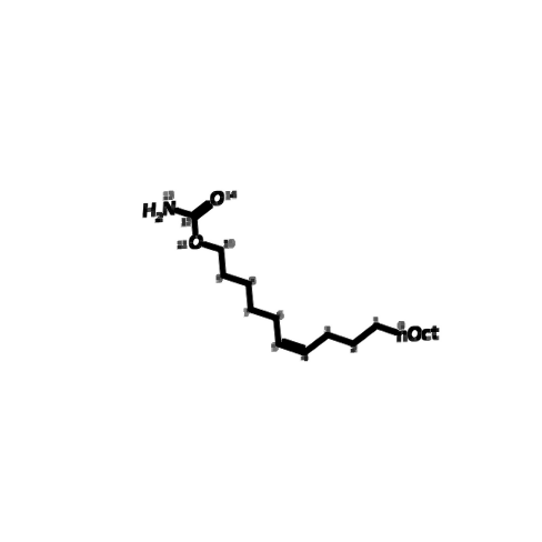 CCCCCCCCCCC/C=C\CCCCCOC(N)=O